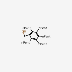 CCCCCc1c(CS)c(CCCCC)c(CCCCC)c(CCCCC)c1CCCCC